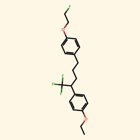 CCOc1ccc(C(CCCc2ccc(OCCF)cc2)C(F)(F)F)cc1